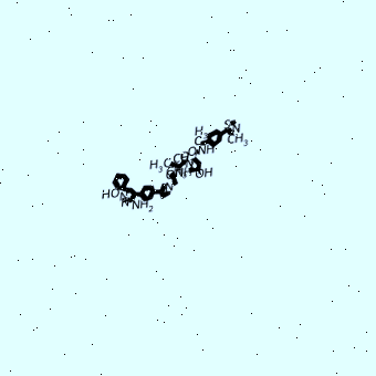 Cc1ncsc1-c1ccc([C@H](C)NC(=O)[C@@H]2C[C@@H](O)CN2C(=O)[C@@H](NC(=O)Cn2ccc(-c3ccc(-c4cc(-c5ccccc5O)nnc4N)cc3)c2)C(C)(C)C)cc1